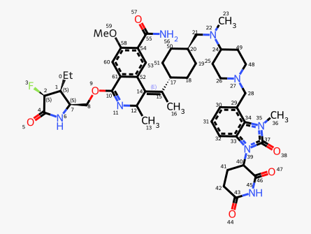 CC[C@@H]1[C@H](F)C(=O)N[C@@H]1COC1=NC(C)/C(=C(\C)[C@H]2CC[C@H](CN(C)C3CCN(Cc4cccc5c4n(C)c(=O)n5C4CCC(=O)NC4=O)CC3)CC2)c2cc(C(N)=O)c(OC)cc21